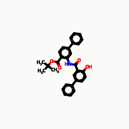 CC(C)(C)OC(=O)c1ccc(-c2ccccc2)cc1NC(=O)c1cc(-c2ccccc2)ccc1O